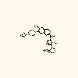 O[C@@H]1COC[C@H]1n1ncc(Nc2ncc3cc(Cl)c(C4CCN(C5COC5)CC4)cc3n2)c1Cl